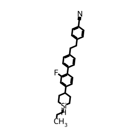 CCC[SiH]1CCC(c2ccc(-c3ccc(CCc4ccc(C#N)cc4)cc3)c(F)c2)CC1